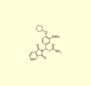 COc1cc(C(CC(N)=O)N2C(=O)c3ccncc3C2=O)ccc1OC1CCCC1